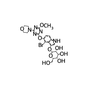 COc1nc(Oc2ccc3[nH]cc(O[C@@H]4O[C@H](CO)[C@@H](O)[C@H](O)[C@H]4O)c3c2Br)nc(N2CCOCC2)n1